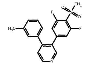 Cc1cccc(-c2ccncc2-c2cc(F)c(S(C)(=O)=O)c(F)c2)c1